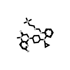 CN1C(=O)CN(C2CCC(N(c3ccccc3OCOCC[Si](C)(C)C)C3CC3)CC2)c2nc(Br)ccc21